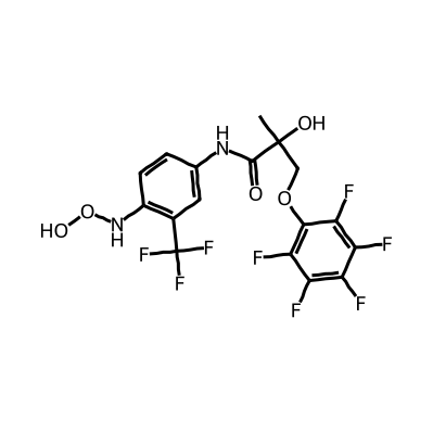 CC(O)(COc1c(F)c(F)c(F)c(F)c1F)C(=O)Nc1ccc(NOO)c(C(F)(F)F)c1